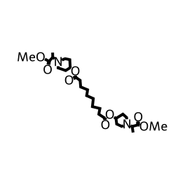 COC(=O)C(C)N1CCC(OC(=O)CCCCCCCCC(=O)OC2CCN(C(C)C(=O)OC)CC2)CC1